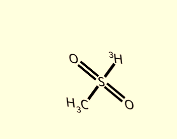 [3H]S(C)(=O)=O